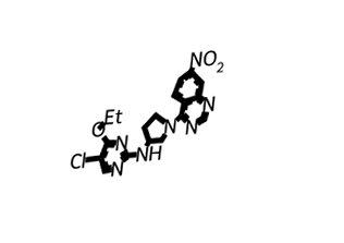 CCOc1nc(NC2CCN(c3ncnc4cc([N+](=O)[O-])ccc34)C2)ncc1Cl